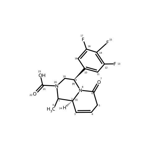 CC1[C@@H]2C=CCC(=O)N2[C@H](c2cc(F)c(F)c(F)c2)CN1C(=O)O